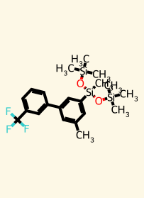 Cc1cc(-c2cccc(C(F)(F)F)c2)cc([Si](C)(O[Si](C)(C)C)O[Si](C)(C)C)c1